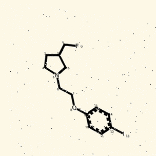 FCC1CCN(CCOc2ccc(I)cc2)C1